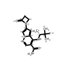 C[C@@H](Nc1c(C(N)=O)cnn2cc(N3CCC3=O)cc12)C(C)(C)F